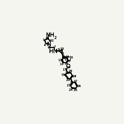 Cl.N[C@@H]1CCN(CCNC2CC2c2ccc(OCc3ccc(-c4ccccc4)cc3)cc2)C1